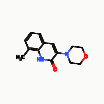 Cc1cccc2cc(N3CCOCC3)c(=O)[nH]c12